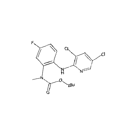 CN(C(=O)OC(C)(C)C)c1cc(F)ccc1Nc1ncc(Cl)cc1Cl